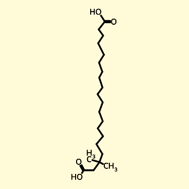 CC(C)(CCCCCCCCCCCCCCCCC(=O)O)CC(=O)O